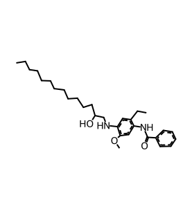 CCCCCCCCCCCCC(O)CNc1cc(CC)c(NC(=O)c2ccccc2)cc1OC